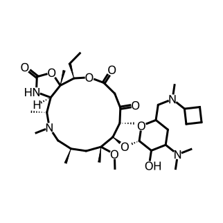 CC[C@H]1OC(=O)CC(=O)[C@H](C)[C@@H](O[C@@H]2OC(CN(C)C3CCC3)CC(N(C)C)C2O)[C@](C)(OC)C[C@@H](C)CN(C)[C@H](C)[C@H]2NC(=O)O[C@@]21C